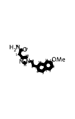 COc1ccc2ccc(CCn3cnc(CC(N)=O)c3)cc2c1